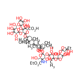 CCOC(=O)N[C@H]1C(CO)O[C@@H](OC(=O)[C@]23CCC(C)(C)CC2C2=CCC4C5(C)CC[C@H](O[C@@H]6OC(C(=O)O)[C@@H](O)[C@H](O[C@@H]7OC[C@@H](O)[C@H](O)C7O)C6O[C@@H]6OC(CO)[C@H](O)[C@H](O)C6O)[C@](C)(C=O)[C@@H]5CC[C@]4(C)[C@]2(C)CC3O)C(O[C@@H]2OC(C)[C@H](O[C@@H]3OC[C@@H](O)C(O[C@@H]4OC[C@@](O)(CC)C4O)C3O)C(O)C2O)C1O